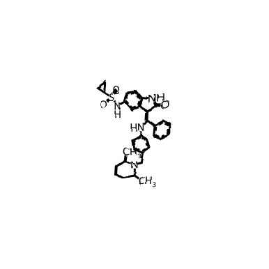 CC1CCCC(C)N1Cc1ccc(NC(=C2C(=O)Nc3ccc(NS(=O)(=O)C4CC4)cc32)c2ccccc2)cc1